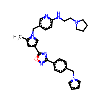 Cc1cc(-c2nc(-c3ccc(Cn4cccc4)cc3)no2)cn1Cc1ccc(NCCN2CCCC2)nc1